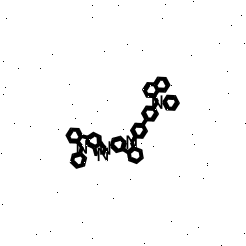 C1=Cc2c(n(-c3ccc(-c4ccc(N(c5ccccc5)c5cccc6ccccc56)cc4)cc3)c3ccc(-n4ncc5c4ccc4c6ccccc6n(-c6ccccc6)c45)cc23)CC1